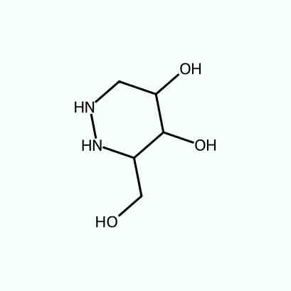 OCC1NNCC(O)C1O